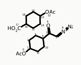 CC(=O)OC1CCC(C(=O)C=[N+]=[N-])CC1.CC(=O)OC1CCC(C(=O)O)CC1